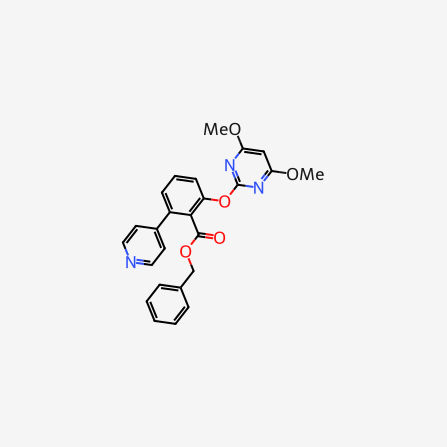 COc1cc(OC)nc(Oc2cccc(-c3ccncc3)c2C(=O)OCc2ccccc2)n1